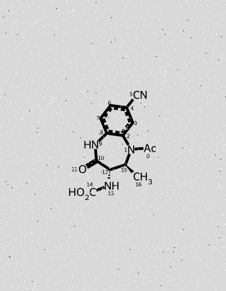 CC(=O)N1c2cc(C#N)ccc2NC(=O)[C@@H](NC(=O)O)[C@@H]1C